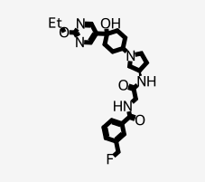 CCOc1ncc(C2(O)CCC(N3CC[C@@H](NC(=O)CNC(=O)c4cccc(CF)c4)C3)CC2)cn1